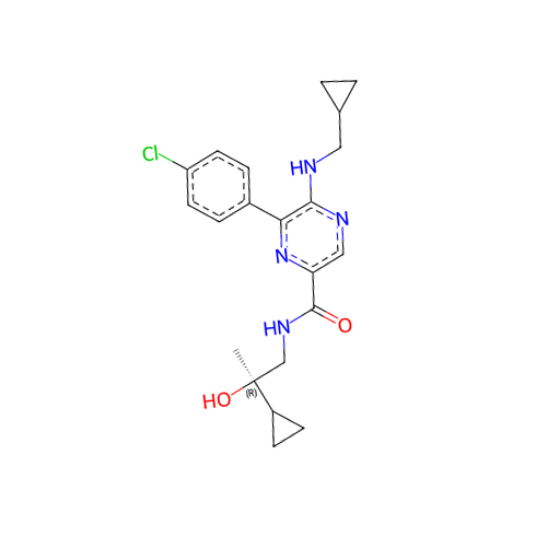 C[C@](O)(CNC(=O)c1cnc(NCC2CC2)c(-c2ccc(Cl)cc2)n1)C1CC1